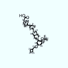 O=C(O)Cn1nnc(-c2cnc(N3CC4CN(c5cc(OCC6CCC6)ccc5OC(F)(F)F)CC4C3)s2)n1